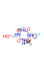 CC[C@]1(C)NC(=O)[C@H](CCCCO)NC(=O)[C@H]2CCCN2C(=O)[C@H](Cc2cccc(F)c2)NC1=O